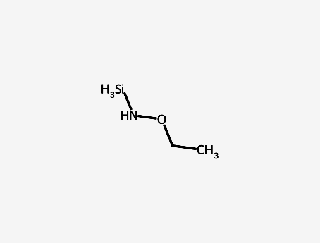 CCON[SiH3]